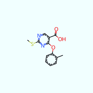 CSc1ncc(C(=O)O)c(Oc2ccccc2C)n1